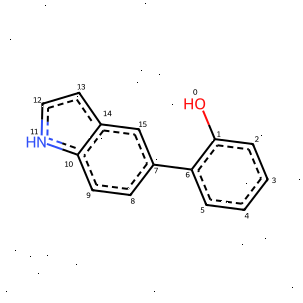 Oc1ccccc1-c1ccc2[nH]ccc2c1